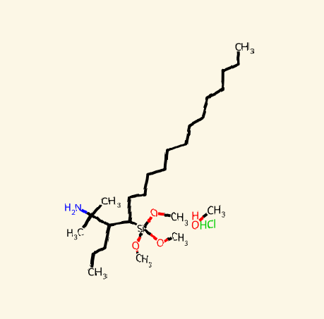 CCCCCCCCCCCCCC(C(CCC)C(C)(C)N)[Si](OC)(OC)OC.CO.Cl